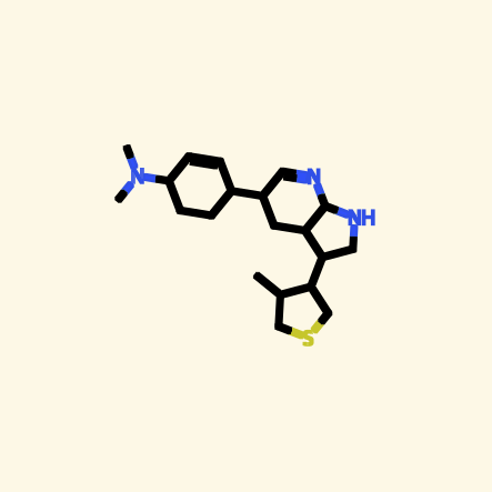 CC1CSCC1C1CNC2N=CC(C3C=CC(N(C)C)CC3)CC21